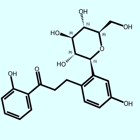 O=C(CCc1ccc(O)cc1[C@@H]1O[C@H](CO)[C@@H](O)[C@H](O)[C@H]1O)c1ccccc1O